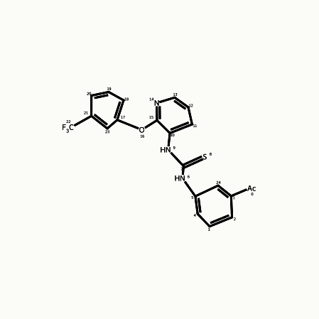 CC(=O)c1cccc(NC(=S)Nc2cccnc2Oc2cccc(C(F)(F)F)c2)c1